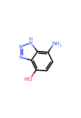 Nc1ccc(O)c2nn[nH]c12